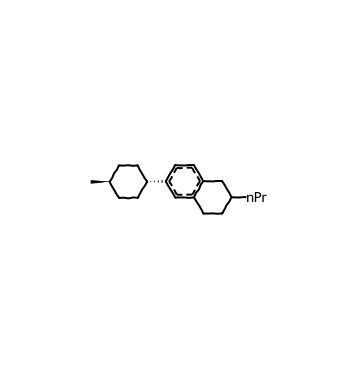 CCCC1CCc2cc([C@H]3CC[C@H](C)CC3)ccc2C1